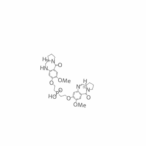 COc1cc2c(cc1OCCP(=O)(O)CCOc1cc3c(cc1OC)C(=O)N1CCC[C@H]1CN3)N=C[C@@H]1CCCN1C2=O